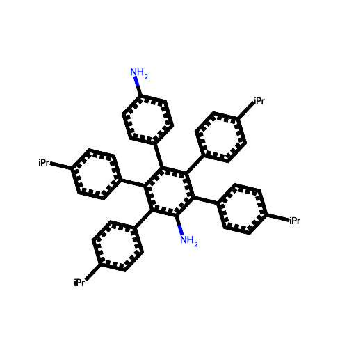 CC(C)c1ccc(-c2c(N)c(-c3ccc(C(C)C)cc3)c(-c3ccc(C(C)C)cc3)c(-c3ccc(N)cc3)c2-c2ccc(C(C)C)cc2)cc1